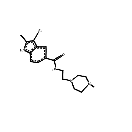 CCc1c(C)[nH]c2ccc(C(=O)NCCN3CCN(C)CC3)cc12